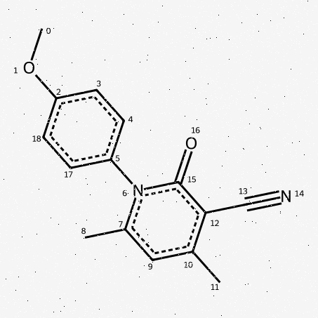 COc1ccc(-n2c(C)cc(C)c(C#N)c2=O)cc1